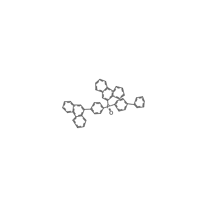 O=P(c1ccc(-c2ccccc2)cc1)(c1ccc(-c2cc3ccccc3c3ccccc23)cc1)c1cc2ccccc2c2ccccc12